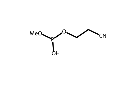 COP(O)OCCC#N